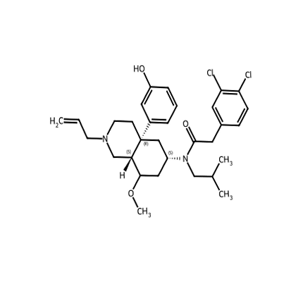 C=CCN1CC[C@@]2(c3cccc(O)c3)C[C@H](N(CC(C)C)C(=O)Cc3ccc(Cl)c(Cl)c3)CC(OC)[C@@H]2C1